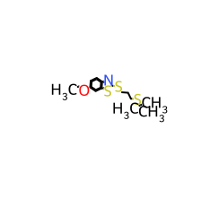 CCOc1ccc2nc(SCCCSC(C)(C)C)sc2c1